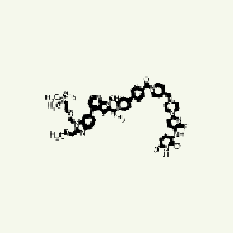 COCc1nc2ccc(-c3ccnc4c3cc([C@H](C)N3CCC(c5ccc(C(=O)N6CCC(CN7CCN(c8ccc(NC9CCC(=O)NC9=O)c(F)n8)CC7)CC6)cc5)CC3)n4C)cc2n1COCC[Si](C)(C)C